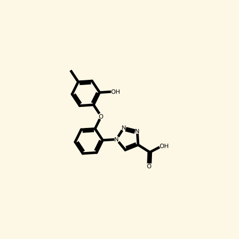 Cc1ccc(Oc2ccccc2-n2cc(C(=O)O)nn2)c(O)c1